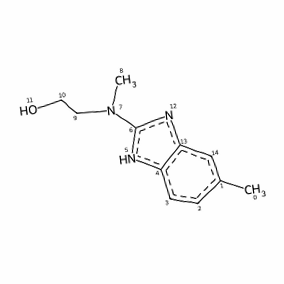 Cc1ccc2[nH]c(N(C)CCO)nc2c1